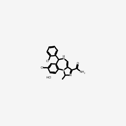 CC1N=C(C(N)=O)C2=CNC(c3ccccc3Cl)c3cc(Cl)ccc3N21.Cl